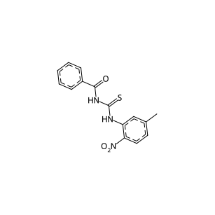 Cc1ccc([N+](=O)[O-])c(NC(=S)NC(=O)c2ccccc2)c1